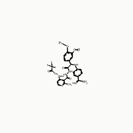 CCOc1cc(C(Nc2ccc(C(=N)N)cc2)C(=O)NNC(=O)c2c(OC)ccnc2C)ccc1OC(C)C.O=C(O)C(F)(F)F